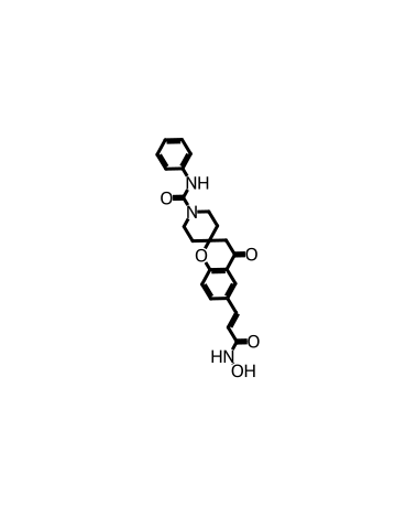 O=C(C=Cc1ccc2c(c1)C(=O)CC1(CCN(C(=O)Nc3ccccc3)CC1)O2)NO